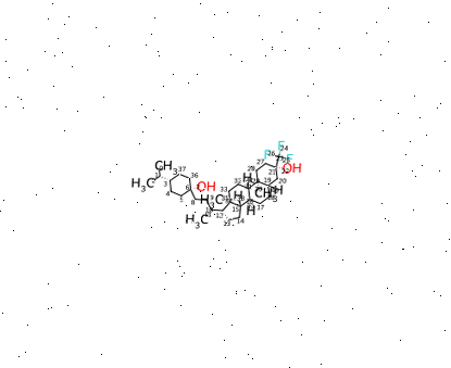 CC(C)[C@H]1CC[C@](O)(CC[C@@H](C)[C@H]2CC[C@H]3[C@@H]4CC[C@H]5C[C@](O)(C(F)(F)F)CC[C@]5(C)[C@H]4CC[C@]23C)CC1